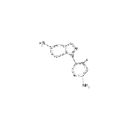 Nc1ccc(-n2ncc3cc(N)ccc32)c(F)c1